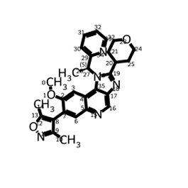 COc1cc2c(cc1-c1c(C)noc1C)ncc1nc(C3CCOCC3)n([C@@H](C)c3ccccn3)c12